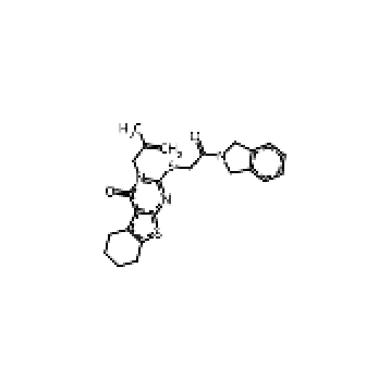 C=C(C)Cn1c(SCC(=O)N2Cc3ccccc3C2)nc2sc3c(c2c1=O)CCCC3